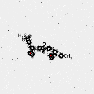 Cc1ccc(Oc2ccc(Oc3ccc(N4C(=O)c5ccc(Oc6ccc(Oc7ccc8c(c7)C(=O)N(C)C8=O)cc6C67CC8CC(CC(C8)C6)C7)cc5C4=O)cc3)cc2C23CC4CC(CC(C4)C2)C3)cc1